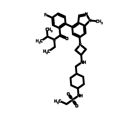 CCN(C(=O)c1cc(F)ccc1-c1cc(N2CC(NCC3CCC(NS(=O)(=O)CC)CC3)C2)cc2c1cnn2C)C(C)C